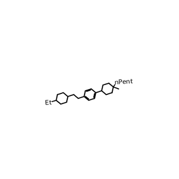 CCCCCC1(C)CCC(c2ccc(CCC3CCC(CC)CC3)cc2)CC1